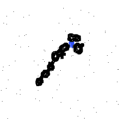 Cc1cccc(N(c2ccc3c(c2)C(C)(C)c2cc(-c4ccc(-c5ccc(-c6ccccc6)cc5)cc4)ccc2-3)c2cccc3ccccc23)c1